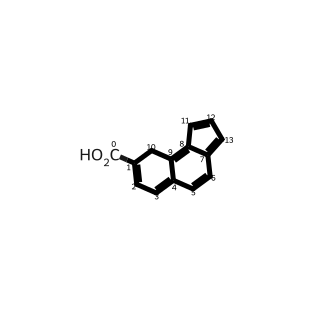 O=C(O)C1=CC=c2ccc3c(c2C1)C=CC=3